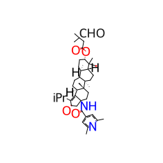 Cc1cc(C(=O)N[C@@]23CC[C@]4(C)[C@H](CC[C@@H]5[C@@]6(C)CC[C@H](OC(=O)CC(C)(C)C=O)C(C)(C)[C@@H]6CC[C@]54C)C2=C(C(C)C)C(=O)C3)cc(C)n1